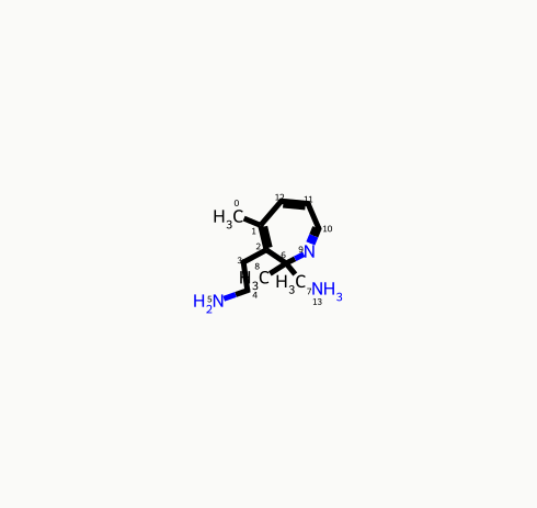 CC1=C(CCN)C(C)(C)N=CC=C1.N